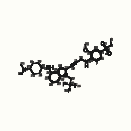 CCS(=O)(=O)c1ccc(NCC#Cc2cc3c(N[C@H]4CC[C@H](N(C)C)CC4)cccc3n2CC(F)(F)F)c(OC)c1